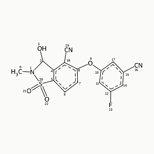 CN1C(O)c2c(ccc(Oc3cc(F)cc(C#N)c3)c2C#N)S1(=O)=O